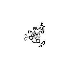 CCc1nnc(C2(C[C@@H](C)NCC(=O)N3C(C#N)C[C@@H]4C[C@@H]43)c3ccc(C(=O)N(C)C)cc3CCc3cc(C(=O)N(C)C)ccc32)o1